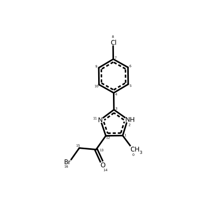 Cc1[nH]c(-c2ccc(Cl)cc2)nc1C(=O)CBr